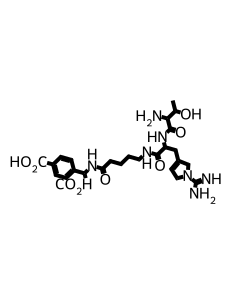 CC(O)C(N)C(=O)NC(CC1=CCN(C(=N)N)C1)C(=O)NCCCCC(=O)NC(C(=O)O)c1ccc(C(=O)O)cc1